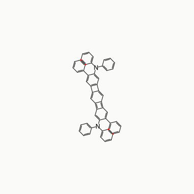 c1ccc(-c2cc3c(cc2N(c2ccccc2)c2ccccc2)c2cc4c5cc(-c6ccccc6)c(N(c6ccccc6)c6ccccc6)cc5c4cc32)cc1